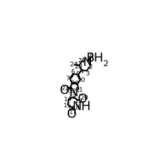 BN1CCC(c2ccc3c(c2)CN(C2CCC(=O)NC2=O)C3=O)C(C)C1